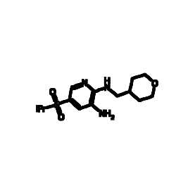 CC(C)S(=O)(=O)c1cnc(NCC2CCOCC2)c(N)c1